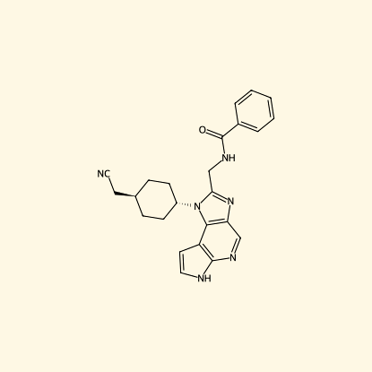 N#CC[C@H]1CC[C@H](n2c(CNC(=O)c3ccccc3)nc3cnc4[nH]ccc4c32)CC1